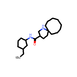 CC(C)(C)CC1CCCC(NC(=O)C2CCC3(CCCCCCCC3)NC2)C1